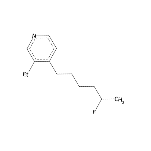 CCc1cnccc1CCCCC(C)F